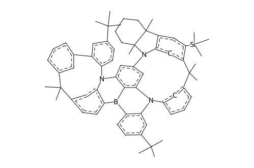 CC(C)(C)c1ccc2c(c1)-c1cccc(c1)C(C)(C)c1ccc3c(c1)N2c1cc2cc4c1B3c1ccc(C(C)(C)C)cc1N4c1cccc(c1)C(C)(C)c1cc3c(cc1[Si](C)(C)C)C1(C)CCCCC1(C)N23